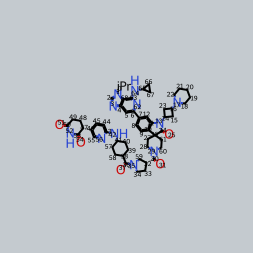 CC(C)n1cnc2cc(-c3ccc4c(c3)N(C3CC(N5CCCCC5)C3)C(=O)C43CCN(C(=O)[C@@H]4CCN(C(=O)C5CCC(Nc6ccc([C@H]7CCC(=O)NC7=O)cn6)CC5)C4)CC3)nc(NC3CC3)c21